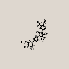 C[C@H]1OC(c2ccc(N3C(=O)N(c4cnc(C#N)c(C(F)(F)F)c4)C(=O)C34CCC4)cc2)=C[C@@H](O)[C@@H]1O